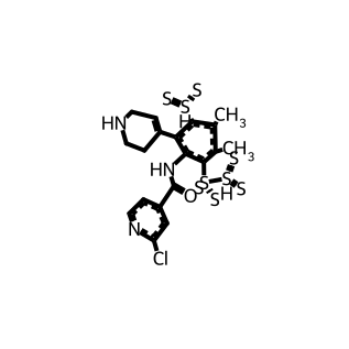 Cc1c(C)c(S(=S)(=S)[SH](=S)=S)c(NC(=O)c2ccnc(Cl)c2)c(C2=CCNCC2)c1[SH](=S)=S